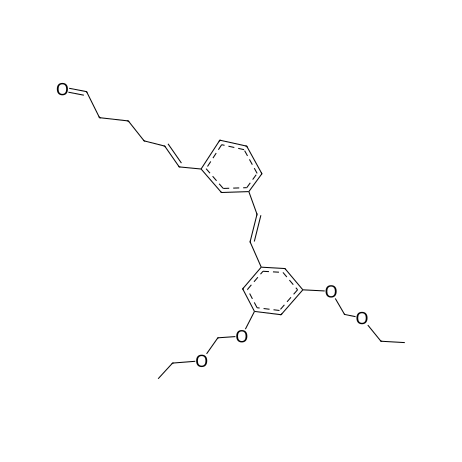 CCOCOc1cc(/C=C/c2cccc(/C=C/CCCC=O)c2)cc(OCOCC)c1